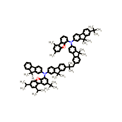 Cc1cc(C)c2c(c1)oc1c(N(c3ccc4c(c3)C(C)(C)c3ccc(CC(C)(C)c5ccc6c(c5)C(C)(C)c5cc(N(c7ccc8c(c7)C(C)(C)c7ccccc7-8)c7cc(C(C)(C)C)cc8c7oc7cc(C(C)C)cc(C(C)C)c78)ccc5-6)cc3-4)c3ccc4c(c3)C(C)(C)c3cc(C(C)(C)C)ccc3-4)cccc12